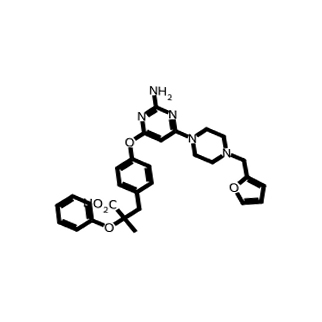 CC(Cc1ccc(Oc2cc(N3CCN(Cc4ccco4)CC3)nc(N)n2)cc1)(Oc1ccccc1)C(=O)O